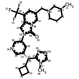 C[C@H]1CCCN(Cc2cc(C(F)(F)F)c3cn(-c4cncc([C@H](c5nncn5C)C5CCC5)c4)c(=O)n3c2)C1